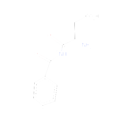 N[C@@H](CC(=O)O)C(=O)NC(=O)c1ccccc1